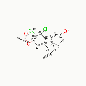 C#CCC12CCC(=O)C=C1c1c(cc(OC(C)=O)c(Cl)c1Cl)C2